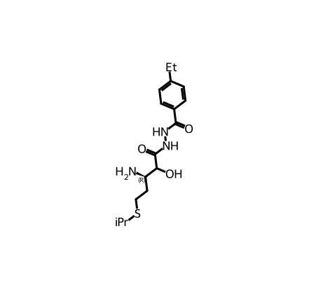 CCc1ccc(C(=O)NNC(=O)C(O)[C@H](N)CCSC(C)C)cc1